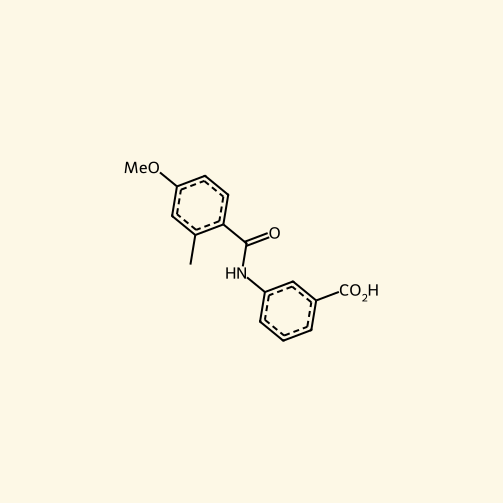 COc1ccc(C(=O)Nc2cccc(C(=O)O)c2)c(C)c1